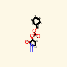 O=C(OCc1ccccc1)OC1CCNC1=O